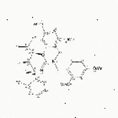 COc1ccc(CN(Cc2ccc(OC)cc2OC)C2=N[C@](C)(c3ccccc3F)[C@@H](F)[C@@H]([C@@H](C)F)O2)c(OC)c1